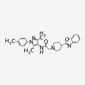 Cc1ccc(-n2nc(C)c(NC(=O)CN3CCC(c4nc5ccccc5o4)CC3)c2C)cc1